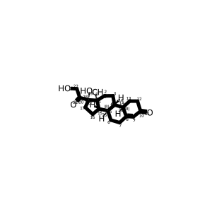 C[C@]12CC[C@H]3[C@@H](CCC4=CC(=O)CC[C@@H]43)[C@@H]1CC[C@@]2(O)C(=O)CO